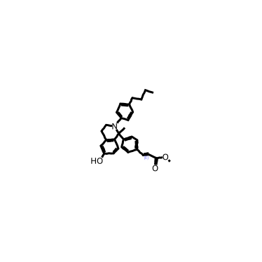 CCCCc1ccc(N2CCc3cc(O)ccc3C2(C)c2ccc(/C=C/C(=O)OC)cc2)cc1